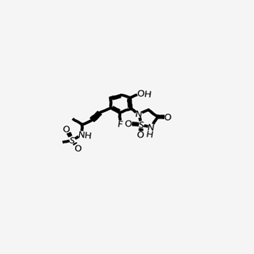 CC(C#Cc1ccc(O)c(N2CC(=O)NS2(=O)=O)c1F)NS(C)(=O)=O